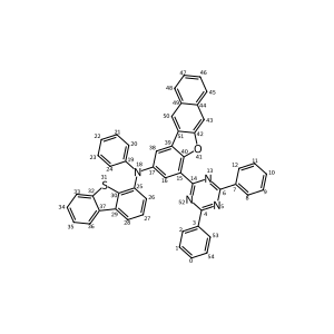 c1ccc(-c2nc(-c3ccccc3)nc(-c3cc(N(c4ccccc4)c4cccc5c4sc4ccccc45)cc4c3oc3cc5ccccc5cc34)n2)cc1